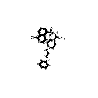 CC(NS(=O)(=O)c1cccc2c(Cl)nccc12)N1CCN(CCCOc2ccccc2)CC1